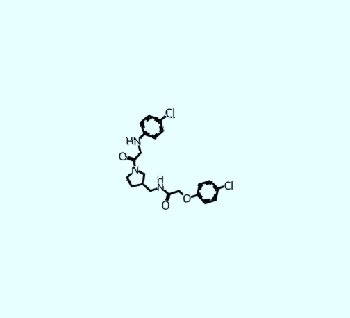 O=C(COc1ccc(Cl)cc1)NCC1CCN(C(=O)CNc2ccc(Cl)cc2)C1